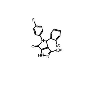 CCc1ccccc1C1c2c(C(C)(C)C)n[nH]c2C(=O)N1c1ccc(F)cc1